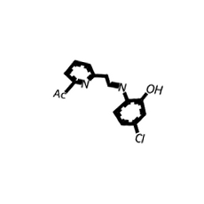 CC(=O)c1cccc(CC=Nc2ccc(Cl)cc2O)n1